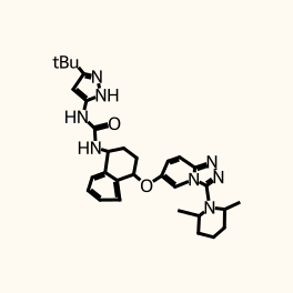 CC1CCCC(C)N1c1nnc2ccc(OC3CCC(NC(=O)Nc4cc(C(C)(C)C)n[nH]4)c4ccccc43)cn12